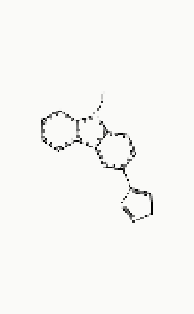 CCn1c2ccccc2c2cc(C3=CCC=C3)ccc21